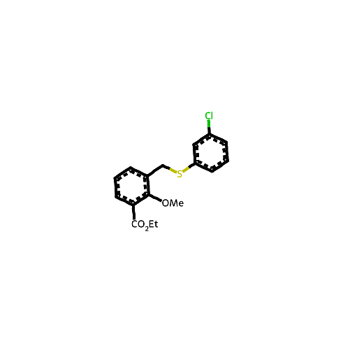 CCOC(=O)c1cccc(CSc2cccc(Cl)c2)c1OC